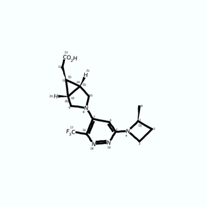 C[C@H]1CCN1c1cc(N2C[C@@H]3[C@@H](CC(=O)O)[C@@H]3C2)c(C(F)(F)F)nn1